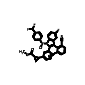 COC(=O)C1CC1c1cccc(-c2c(-c3c(C#N)cccc3C#N)c3cc(F)ccc3n2[S+]([O-])c2ccc(C(F)F)cc2)c1